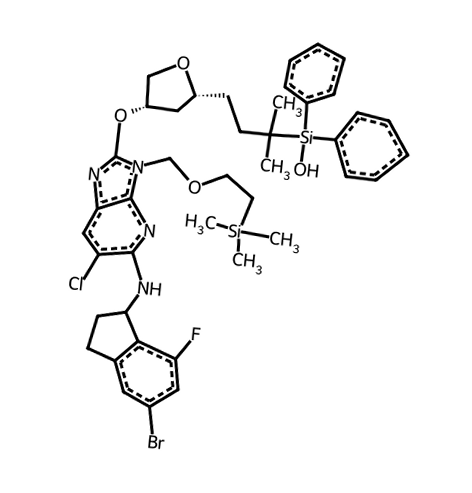 CC(C)(CC[C@@H]1C[C@H](Oc2nc3cc(Cl)c(NC4CCc5cc(Br)cc(F)c54)nc3n2COCC[Si](C)(C)C)CO1)[Si](O)(c1ccccc1)c1ccccc1